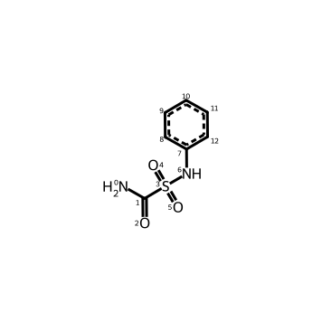 NC(=O)S(=O)(=O)Nc1ccccc1